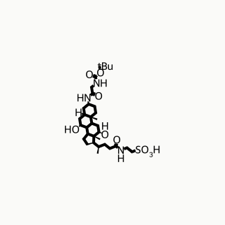 C[C@H](CCC(=O)NCCS(=O)(=O)O)[C@H]1CCC2C3C(C[C@H](O)[C@@]21C)[C@@]1(C)CC[C@H](NC(=O)CNC(=O)OC(C)(C)C)C[C@H]1C[C@H]3O